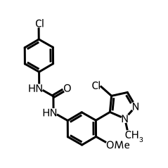 COc1ccc(NC(=O)Nc2ccc(Cl)cc2)cc1-c1c(Cl)cnn1C